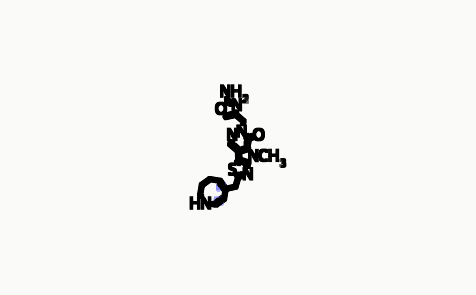 Cn1c2nc(CC3=C/CCCN/C=C\3)sc2c2cnn(Cc3coc(N)n3)c(=O)c21